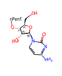 CCCCCO[C@H]1[C@@H](O)[C@H](n2ccc(N)nc2=O)O[C@@H]1CO